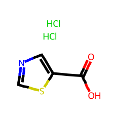 Cl.Cl.O=C(O)c1cncs1